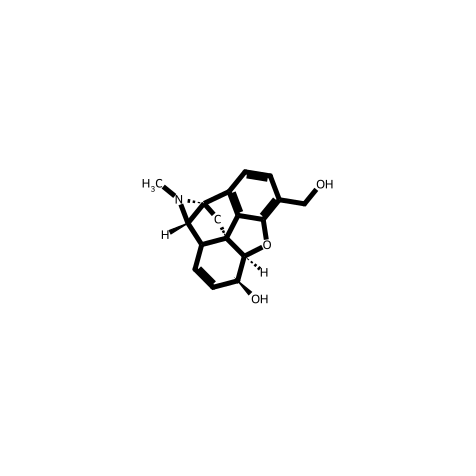 CN1[C@H]2C3C=C[C@H](O)[C@@H]4Oc5c(CO)ccc6c5[C@]34C[C@]621